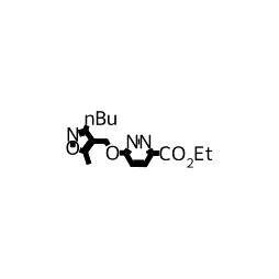 CCCCc1noc(C)c1COc1ccc(C(=O)OCC)nn1